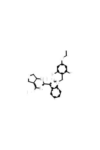 CCOc1cc(F)c(Cn2nc(C3=NC(O)=C4CSCC4N3)c3ccccc32)c(F)c1